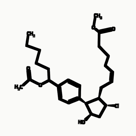 CCCCCC(OC(C)=O)c1ccc([C@@H]2[C@@H](C/C=C\CCCC(=O)OC)[C@H](Cl)C[C@H]2O)cc1